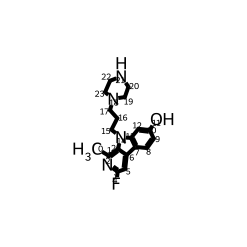 Cc1nc(F)cc2c3ccc(O)cc3n(CCCN3CCNCC3)c12